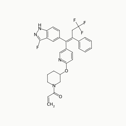 C=CC(=O)N1CCCC(Oc2ccc(/C(=C(/CC(F)(F)F)c3ccccc3)c3ccc4[nH]nc(F)c4c3)cn2)C1